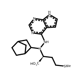 CSCC[C@@H](C(=O)O)N(Nc1ncnc2[nH]ccc12)C1CC2CCC1C2